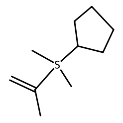 C=C(C)S(C)(C)C1CCCC1